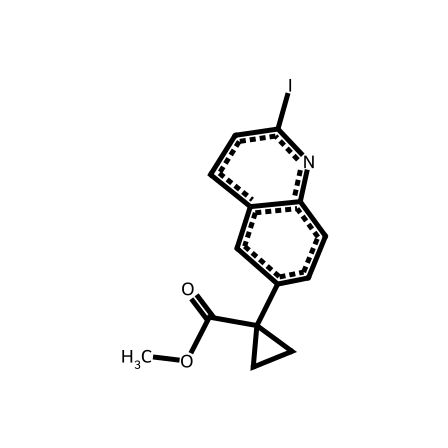 COC(=O)C1(c2ccc3nc(I)ccc3c2)CC1